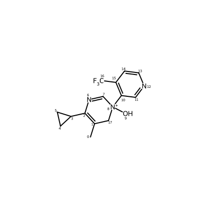 CC1=C(C2CC2)N=C[N+](O)(c2cnccc2C(F)(F)F)C1